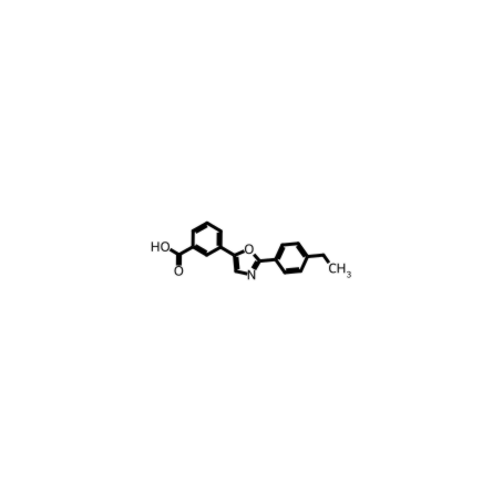 CCc1ccc(-c2ncc(-c3cccc(C(=O)O)c3)o2)cc1